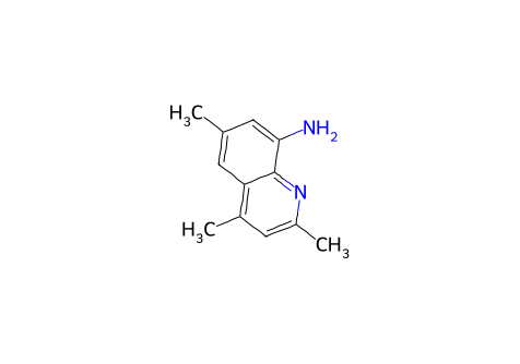 Cc1cc(N)c2nc(C)cc(C)c2c1